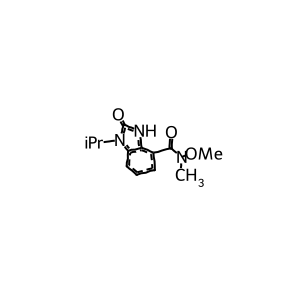 CON(C)C(=O)c1cccc2c1[nH]c(=O)n2C(C)C